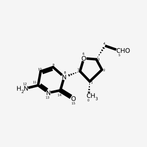 C[C@H]1C[C@@H](CC=O)O[C@H]1n1ccc(N)nc1=O